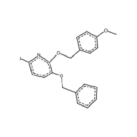 COc1ccc(COc2nc(I)ccc2OCc2ccccc2)cc1